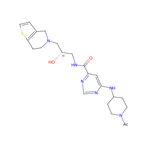 CC(=O)N1CCC(Nc2cc(C(=O)NC[C@H](O)CN3CCc4sccc4C3)ncn2)CC1